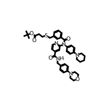 CC(C)(C)OC(=O)CCSCc1cccc(C(=O)N(c2ccc(N3CCCCC3)cc2)c2cc(C(=O)NCc3ccc(N4CCOCC4)cc3)ccn2)c1